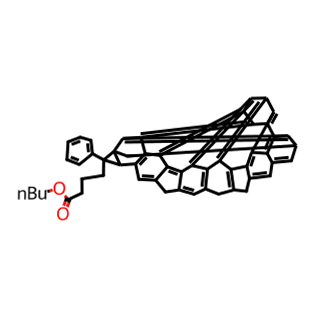 CCCCOC(=O)CCCC1(c2ccccc2)C2c3cc4c5c6c(cc7c8c9c%10c%11c(cc%12c%13c%14c%15c(c%16c3c5c3c%16c%14c(c%11%13)c9c3c68)C21CC%15C=%12)CC=%10C7)C4